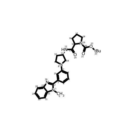 Cn1c(-c2cccc(N3CC[C@H](NC(=O)C4CCCN4C(=O)OC(C)(C)C)C3)c2)nc2ccccc21